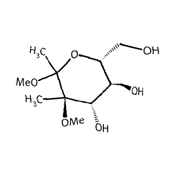 COC1(C)O[C@H](CO)[C@@H](O)[C@H](O)[C@@]1(C)OC